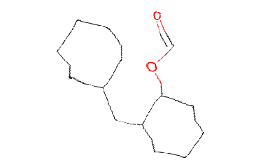 O=CO[C]1CCCCC1CC1CCCCC1